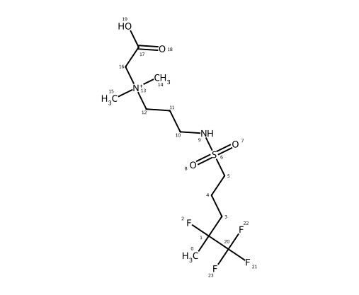 CC(F)(CCCS(=O)(=O)NCCC[N+](C)(C)CC(=O)O)C(F)(F)F